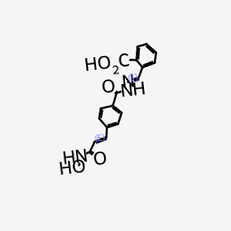 O=C(/C=C/c1ccc(C(=O)N/N=C/c2ccccc2C(=O)O)cc1)NO